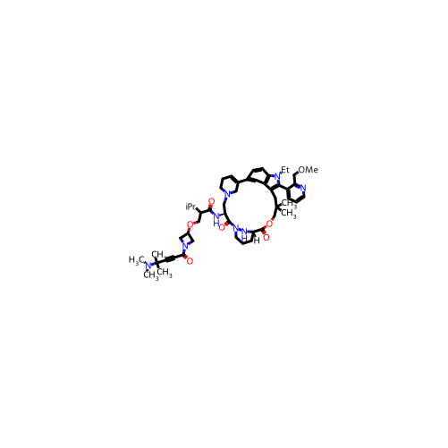 CCn1c(-c2cccnc2COC)c2c3cc(ccc31)C1=CCCN(C1)C[C@H](NC(=O)C(COC1CN(C(=O)C#CC(C)(C)N(C)C)C1)C(C)C)C(=O)N1CCC[C@H](N1)C(=O)OCC(C)(C)C2